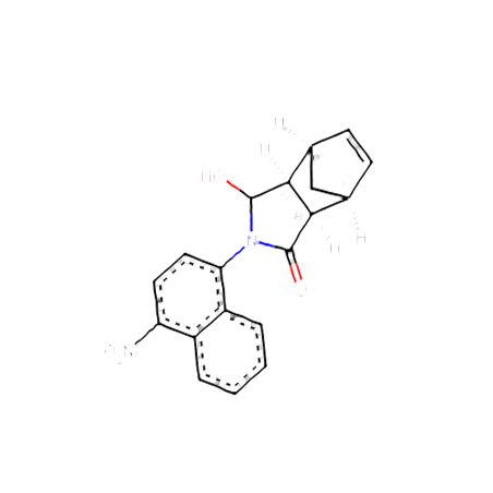 O=C1[C@H]2[C@@H](C(O)N1c1ccc([N+](=O)[O-])c3ccccc13)[C@H]1C=C[C@@H]2C1